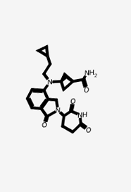 NC(=O)C12CC(N(CCC3CC3)c3cccc4c3CN(C3CCC(=O)NC3=O)C4=O)(C1)C2